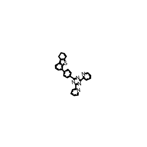 C1=Cc2sc3c(-c4ccc(-c5nc(-c6ccccn6)nc(-c6ccccn6)n5)cc4)cccc3c2CC1